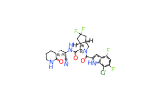 N#C[C@@H](C[C@H]1CCCNC1=O)NC(=O)[C@H]1[C@@H]2CC(F)(F)C[C@@H]2CN1C(=O)c1cc2c(F)cc(F)c(Cl)c2[nH]1